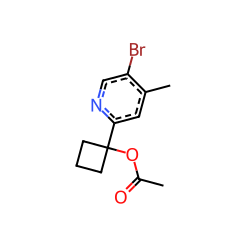 CC(=O)OC1(c2cc(C)c(Br)cn2)CCC1